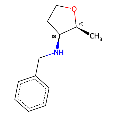 C[C@@H]1OCC[C@@H]1NCc1ccccc1